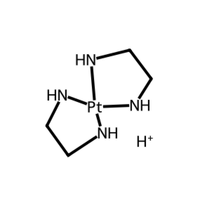 C1C[NH][Pt]2([NH]1)[NH]CC[NH]2.[H+]